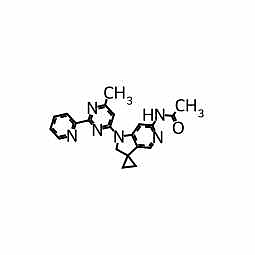 CC(=O)Nc1cc2c(cn1)C1(CC1)CN2c1cc(C)nc(-c2ccccn2)n1